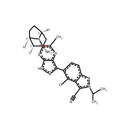 Cc1nc2c(-c3ccc4nn(C(C)C)c(C#N)c4c3Cl)n[nH]c2nc1N1[C@H]2CC[C@@H]1[C@@H](F)[C@@H](N)C2